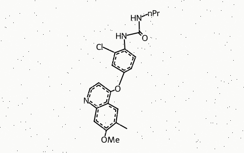 CCCNC(=O)Nc1ccc(Oc2ccnc3cc(OC)c(C)cc23)cc1Cl